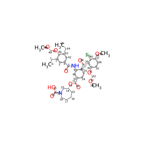 CCc1cc(C(=O)Nc2cc(C(=O)O[C@@H]3CCCCN(C(=O)O)C3)ccc2C(=O)c2c(OCOC)ccc(OC)c2F)cc(CC)c1OCOC